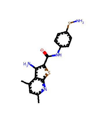 Cc1cc(C)c2c(N)c(C(=O)Nc3ccc(SN)cc3)sc2n1